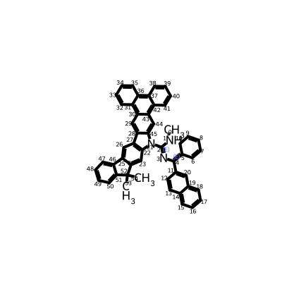 CN/C(=N\C(=C1\C=CC=CC1)c1ccc2ccccc2c1)n1c2cc3c(cc2c2cc4c5ccccc5c5ccccc5c4cc21)-c1ccccc1C3(C)C